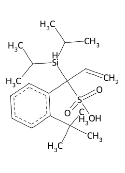 C=CC(c1ccccc1C(C)(C)C)([SiH](C(C)C)C(C)C)S(=O)(=O)O